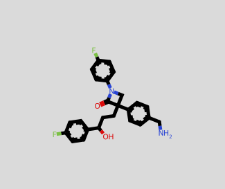 NCc1ccc(C2(CCC(O)c3ccc(F)cc3)CN(c3ccc(F)cc3)C2=O)cc1